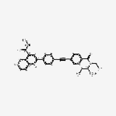 CC(C)CN(C(=O)c1ccc(C#Cc2ccc(-c3cc(C(=O)NN)c4cnccc4n3)cc2)cc1)C(CO)C(=O)O